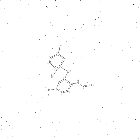 O=CNc1ccc(F)cc1Oc1cc(F)ccc1Br